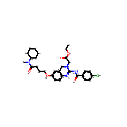 CCOC(=O)CN1Cc2cc(OCCCC(=O)N(C)C3CCCCC3)ccc2N=C1NC(=O)c1ccc(Cl)cc1